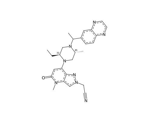 CC[C@H]1CN(C(C)c2ccc3nccnc3c2)[C@H](C)CN1c1cc(=O)n(C)c2cn(CC#N)nc12